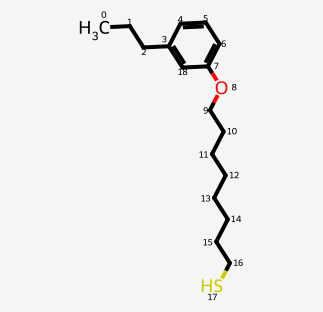 CCCc1cccc(OCCCCCCCCS)c1